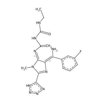 C=C(/N=C1\C(=C(/N)c2cccc(F)c2)N=C(c2nnn[nH]2)N1C)NC(=O)NCC